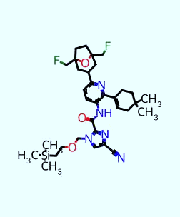 CC1(C)CC=C(c2nc(C3CC4(CF)CCC(CF)(C3)O4)ccc2NC(=O)c2nc(C#N)cn2COCC[Si](C)(C)C)CC1